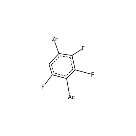 CC(=O)c1c(F)c[c]([Zn])c(F)c1F